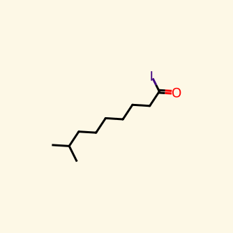 CC(C)CCCCCCC(=O)I